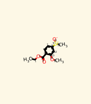 CCOC(=O)c1ccc([S+](C)[O-])cc1OC